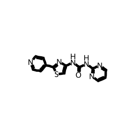 O=C(Nc1csc(-c2ccncc2)n1)Nc1ncccn1